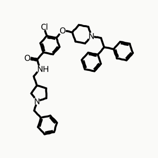 O=C(NCC1CCN(Cc2ccccc2)C1)c1ccc(OC2CCN(CC(c3ccccc3)c3ccccc3)CC2)c(Cl)c1